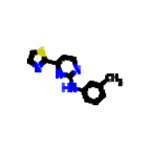 Cc1cccc(Nc2nccc(-c3nccs3)n2)c1